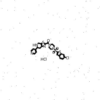 Cl.O=C(c1nc2c(s1)CNC(c1ccncc1)C2)N1CCN(S(=O)(=O)c2cc3ccc(Cl)cc3s2)CC1